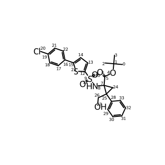 CC(C)(C)OC(=O)C1(NS(=O)(=O)c2ccc(-c3ccc(Cl)cc3)s2)CC1(CO)c1ccccc1